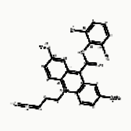 COc1ccc2c(c1)c(C(=O)Oc1c(Br)cccc1Br)c1cc(OC)ccc1[n+]2CCC=C=O